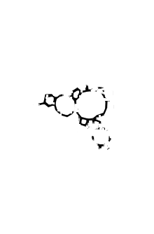 COC1(CN2CCCN(C)C(=O)OCC2)/C=C/C[C@H](C)[C@@H](C)S(=O)(=O)NC(=O)c2ccc3c(c2)N(CCCCc2cc(Cl)ccc2CO3)C[C@@H]2CC[C@H]21